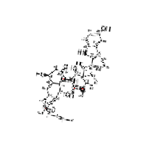 CC#C/C=C\C#C[C@H](OC1OC(C)C(SC)(C(=O)c2nccc3c2[nH]c2ccc(O)cc23)C(O)C1OC)C1=C(NC(=O)OC)C(=O)C[C@H](O)/C1=C/CSC(C)=O